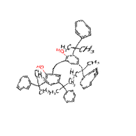 CC(C)(c1ccccc1)c1cc(Cc2cc(C(C)(C)c3ccccc3)cc(C(C)(C)c3ccccc3)c2O)c(O)c(C(C)(C)c2ccccc2)c1